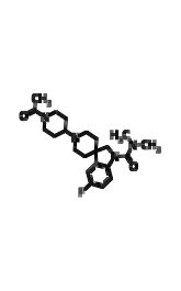 CC(=O)N1CCC(N2CCC3(CC2)CN(C(=O)N(C)C)c2ccc(F)cc23)CC1